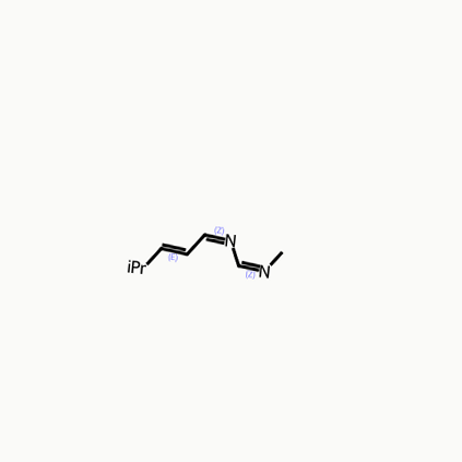 C\N=C/N=C\C=C\C(C)C